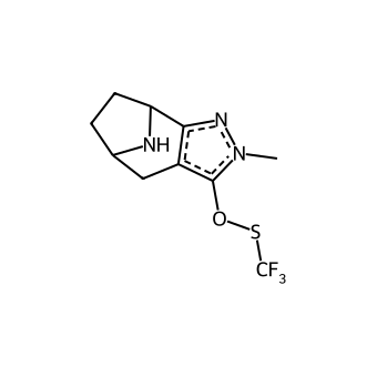 Cn1nc2c(c1OSC(F)(F)F)CC1CCC2N1